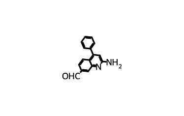 Nc1cc(-c2ccccc2)c2ccc(C=O)cc2n1